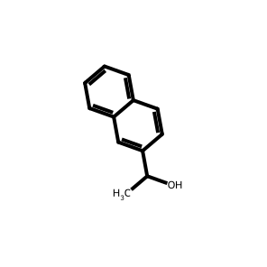 CC(O)c1ccc2ccccc2c1